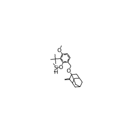 C=C1C2CC3CC(C2)CC1(OCc1ccc(OC)c(C(C)(C)C)c1O[SiH](C)C)C3